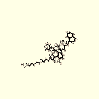 Cc1nn(CCCOCCOCCN)c(C)c1-c1cccc2c(CCCOc3cccc4ccccc34)c(C(=O)OC(C)(C)C)n(CCN3CCOCC3)c12